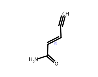 C#C/C=C/C(N)=O